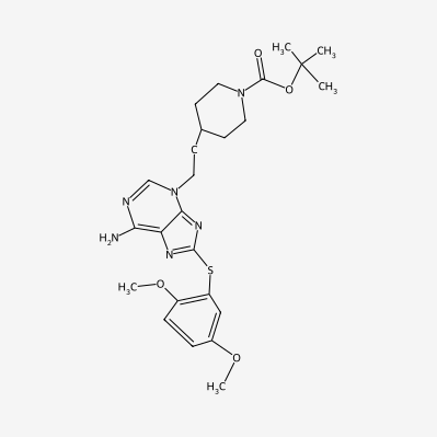 COc1ccc(OC)c(Sc2nc3c(N)ncn(CCC4CCN(C(=O)OC(C)(C)C)CC4)c-3n2)c1